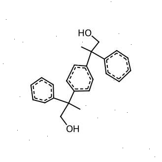 CC(CO)(c1ccccc1)c1ccc(C(C)(CO)c2ccccc2)cc1